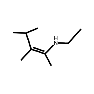 CCN/C(C)=C(/C)C(C)C